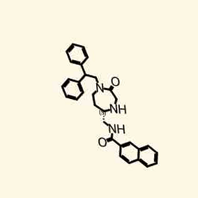 O=C(NC[C@@H]1CCN(CC(c2ccccc2)c2ccccc2)C(=O)CN1)c1ccc2ccccc2c1